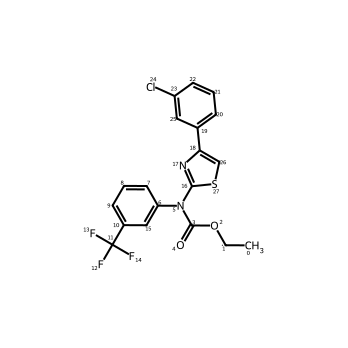 C[CH]OC(=O)N(c1cccc(C(F)(F)F)c1)c1nc(-c2cccc(Cl)c2)cs1